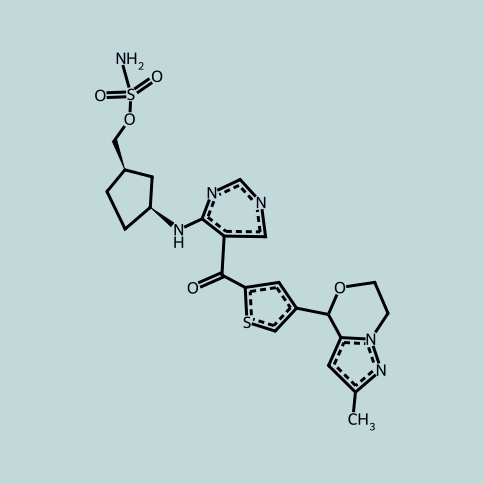 Cc1cc2n(n1)CCOC2c1csc(C(=O)c2cncnc2N[C@H]2CC[C@@H](COS(N)(=O)=O)C2)c1